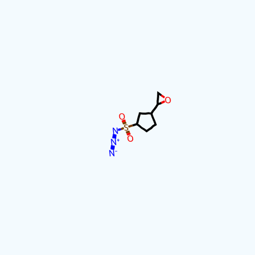 [N-]=[N+]=NS(=O)(=O)C1CCC(C2CO2)C1